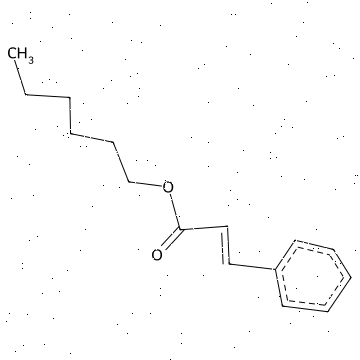 CCCCCCOC(=O)/C=C/c1ccccc1